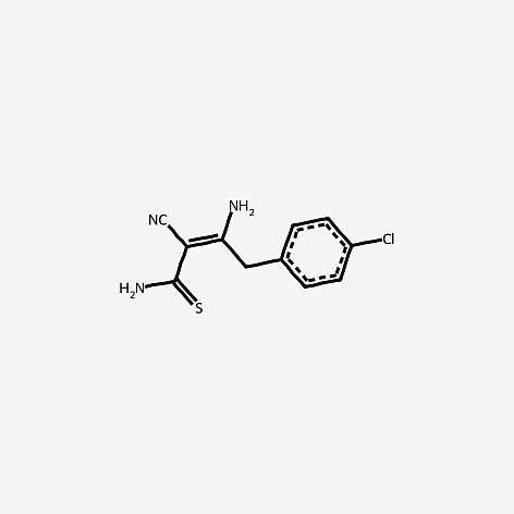 N#CC(C(N)=S)=C(N)Cc1ccc(Cl)cc1